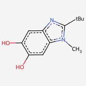 Cn1c(C(C)(C)C)nc2cc(O)c(O)cc21